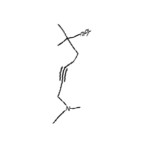 CCCC(C)(C)CC#CCN(C)C